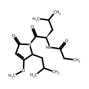 CCC(=O)N[C@H](CC(C)C)C(=O)N1C(=O)C=C(OC)C1CC(C)C